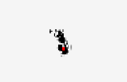 Cc1c(C(N)=O)c(=O)oc2cc3c(cc12)nc(Nc1ccc(Cl)cc1)n3C1CCCC1